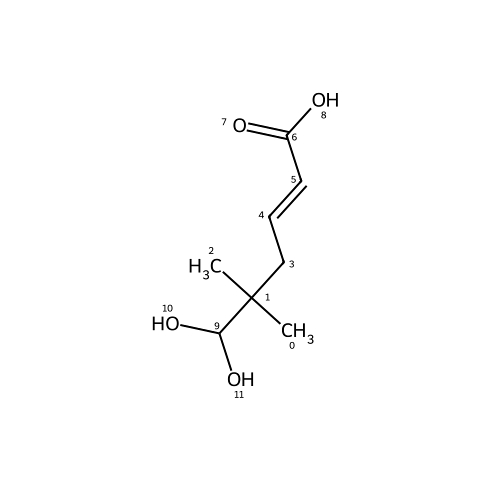 CC(C)(CC=CC(=O)O)C(O)O